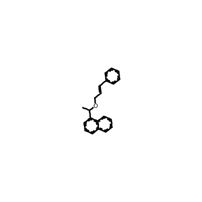 CC(OCC=Cc1ccccc1)c1cccc2ccccc12